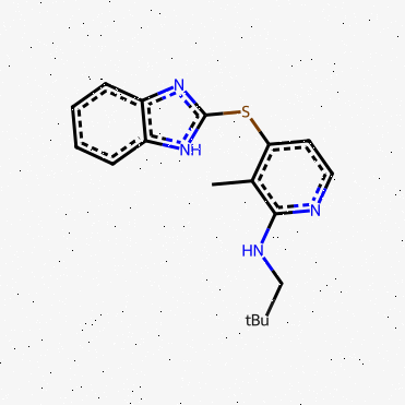 Cc1c(Sc2nc3ccccc3[nH]2)ccnc1NCC(C)(C)C